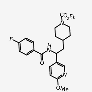 CCOC(=O)N1CCC(CC(NC(=O)c2ccc(F)cc2)c2ccc(OC)nc2)CC1